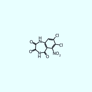 O=c1[nH]c(=O)c2c([N+](=O)[O-])c(Cl)c(Cl)cc2[nH]c1=O